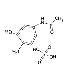 CC(=O)Nc1ccc(O)c(O)c1.O=S(=O)(O)O